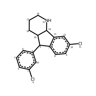 Clc1cccc(C2c3ccc(Cl)cc3C3NCCCC32)c1